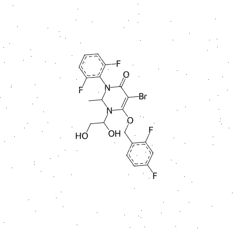 CC1N(c2c(F)cccc2F)C(=O)C(Br)=C(OCc2ccc(F)cc2F)N1C(O)CO